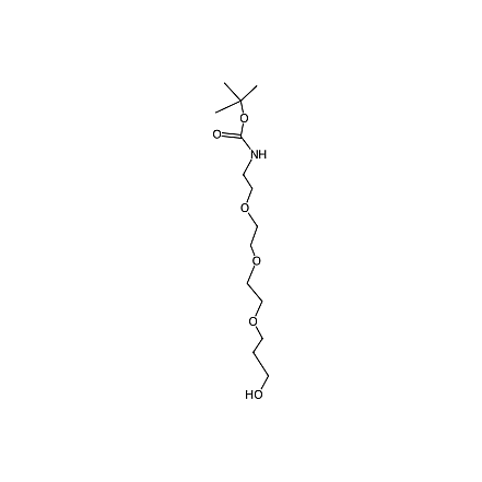 CC(C)(C)OC(=O)NCCOCCOCCOCCCO